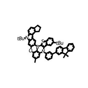 Cc1cc2c3c(c1)N(c1cccc(-c4ccc5c(c4)C(C)(C)c4ccccc4-5)c1)c1c(sc4ccc(C(C)(C)C)cc14)B3c1cc3c4c5c(ccc4n(C(C)(C)C)c3cc1O2)CCC5